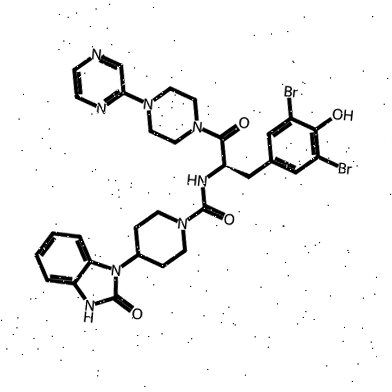 O=C(N[C@H](Cc1cc(Br)c(O)c(Br)c1)C(=O)N1CCN(c2cnccn2)CC1)N1CCC(n2c(=O)[nH]c3ccccc32)CC1